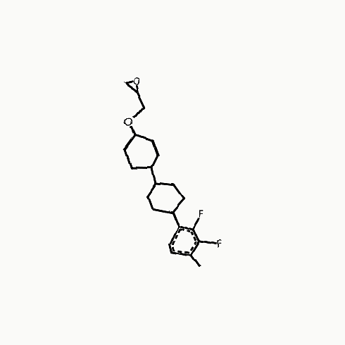 Cc1ccc(C2CCC(C3CCC(OCC4CO4)CC3)CC2)c(F)c1F